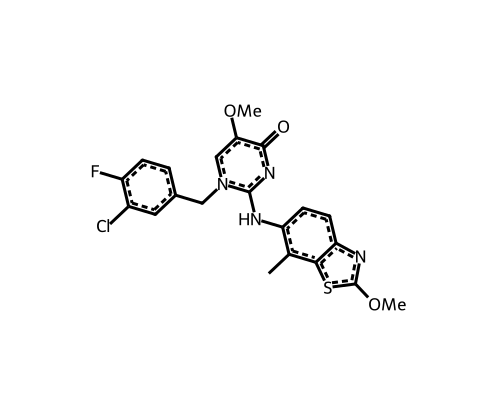 COc1nc2ccc(Nc3nc(=O)c(OC)cn3Cc3ccc(F)c(Cl)c3)c(C)c2s1